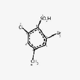 Cc1cc(Cl)c(S(=O)(=O)O)c(Br)c1